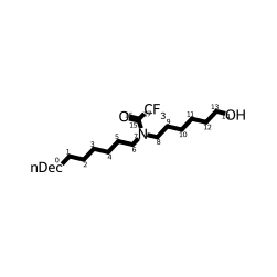 CCCCCCCCCCCCCCCCN(CCCCCCO)C(=O)C(F)(F)F